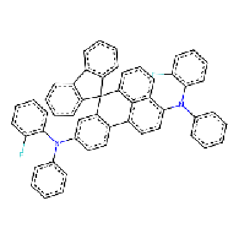 Fc1ccccc1N(c1ccccc1)c1ccc2c(c1)C1(c3ccccc3-c3ccccc31)c1cccc3c(N(c4ccccc4)c4ccccc4F)ccc-2c13